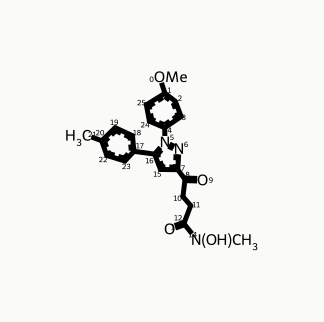 COc1ccc(-n2nc(C(=O)CCC(=O)N(C)O)cc2-c2ccc(C)cc2)cc1